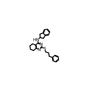 c1ccc(CCCSc2nc3c(c(NC4Cc5ccccc5C4)n2)CCCC3)cc1